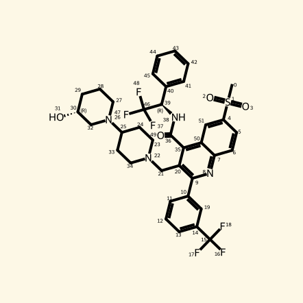 CS(=O)(=O)c1ccc2nc(-c3cccc(C(F)(F)F)c3)c(CN3CCC(N4CCC[C@@H](O)C4)CC3)c(C(=O)N[C@H](c3ccccc3)C(F)(F)F)c2c1